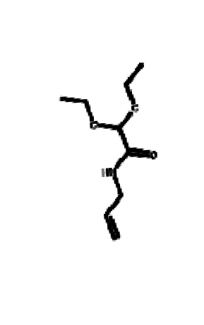 C=CCNC(=O)C(OCC)OCC